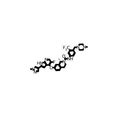 C[C@H]1c2cc(Oc3c(F)cnc4[nH]c(-c5cnn(C)c5)cc34)ccc2CCN1C(=O)Nc1ccc(CN2CCN(C)CC2)c(C(F)(F)F)c1